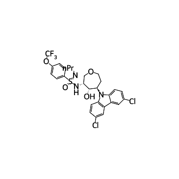 CCCN=S(=O)(N[C@@H]1COCC[C@@H](n2c3ccc(Cl)cc3c3cc(Cl)ccc32)[C@@H]1O)c1ccc(OC(F)(F)F)cc1